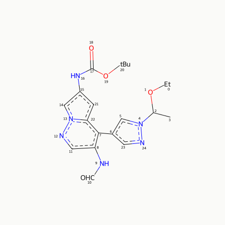 CCOC(C)n1cc(-c2c(NC=O)cnn3cc(NC(=O)OC(C)(C)C)cc23)cn1